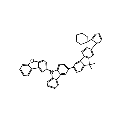 CC1(C)c2ccc(-c3ccc4c(c3)c3ccccc3n4-c3ccc4oc5ccccc5c4c3)cc2-c2cc3c(cc21)-c1ccccc1C31CCCCC1